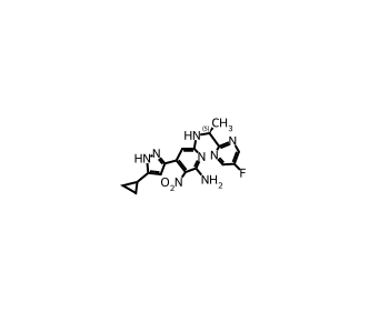 C[C@H](Nc1cc(-c2cc(C3CC3)[nH]n2)c([N+](=O)[O-])c(N)n1)c1ncc(F)cn1